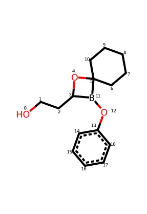 OCCC1OC2(CCCCC2)B1Oc1ccccc1